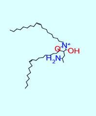 CCCCCCCC/C=C\CCCCCCCC[N+](C)(C)C(O)C(CC(C)N)C(=O)CCCCCCC/C=C\CCCCCCCC